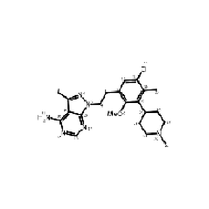 COc1c(CCn2nc(C)c3c(N)ncnc32)cc(Cl)c(C)c1C1CCN(C)CC1